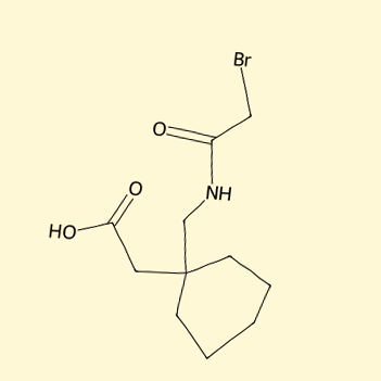 O=C(O)CC1(CNC(=O)CBr)CCCCC1